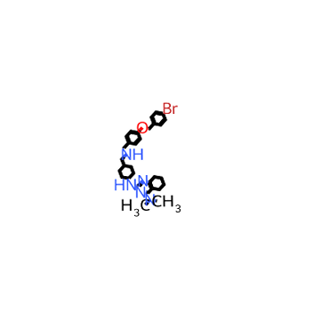 CN(C)c1nc(NC2CCC(CNCc3ccc(OCc4ccc(Br)cc4)cc3)CC2)nc2c1CCCC2